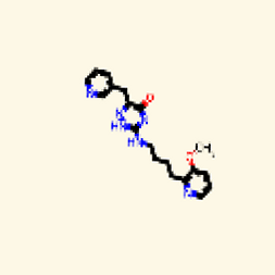 COc1cccnc1CCCCNc1nc(=O)c(Cc2cccnc2)n[nH]1